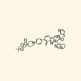 CC(C)(C)OC(=O)CC1(O)CCN(c2ccc(-c3ccc4cn(C(C(=O)Nc5nccs5)c5ncn6c5CCC6)nc4c3F)cc2)CC1